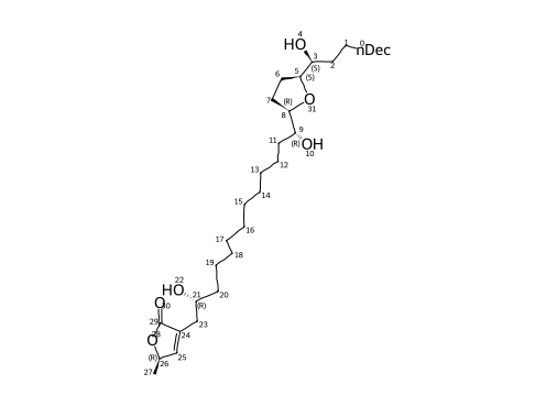 CCCCCCCCCCCC[C@H](O)[C@@H]1CC[C@H]([C@H](O)CCCCCCCCCC[C@@H](O)CC2=C[C@@H](C)OC2=O)O1